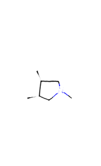 C[C@@H]1CN(C)C[C@@H]1C